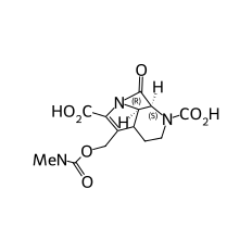 CNC(=O)OCC1=C(C(=O)O)N2C(=O)[C@@H]3[C@H]2C1CCN3C(=O)O